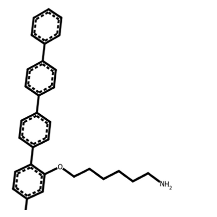 Cc1ccc(-c2ccc(-c3ccc(-c4ccccc4)cc3)cc2)c(OCCCCCCN)c1